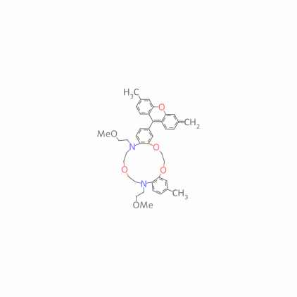 C=c1ccc2c(c1)Oc1cc(C)ccc1C=2c1ccc2c(c1)OCCOc1cc(C)ccc1N(CCOC)CCOCCN2CCOC